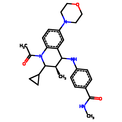 CNC(=O)c1ccc(NC2c3cc(N4CCOCC4)ccc3N(C(C)=O)C(C3CC3)[C@@H]2C)cc1